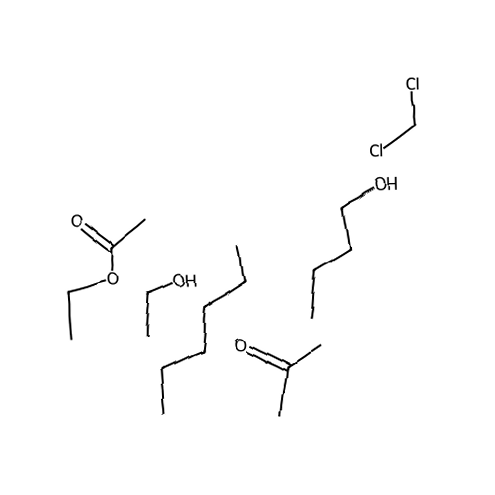 CC(C)=O.CCCCCC.CCCCO.CCO.CCOC(C)=O.ClCCl